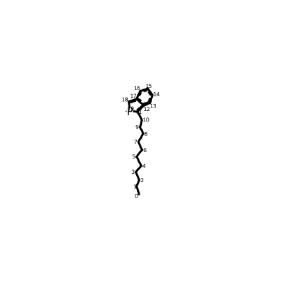 CCCCCCCCCCCC1=c2ccccc2=C[P]1